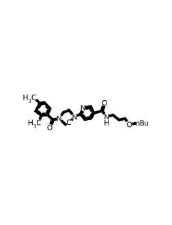 CCCCOCCCNC(=O)c1ccc(N2CCN(C(=O)c3ccc(C)cc3C)CC2)nc1